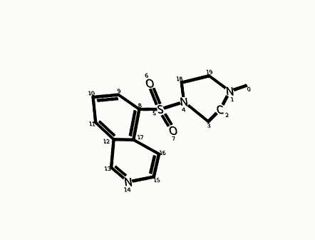 CN1CCN(S(=O)(=O)c2cccc3cnccc23)CC1